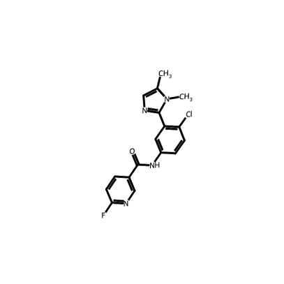 Cc1cnc(-c2cc(NC(=O)c3ccc(F)nc3)ccc2Cl)n1C